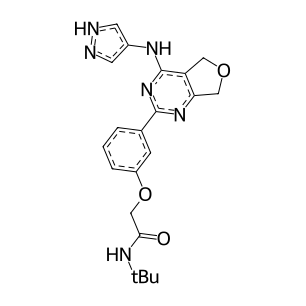 CC(C)(C)NC(=O)COc1cccc(-c2nc3c(c(Nc4cn[nH]c4)n2)COC3)c1